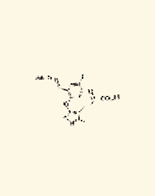 CON=Cc1cc(Cl)c(O[C@@H](C)C(=O)O)cc1Oc1c(C)c(C)nn1C